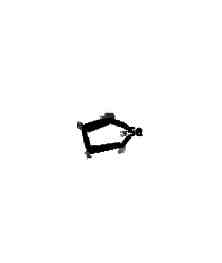 c1cc[se]c1